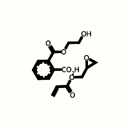 C=CC(=O)OCC1CO1.O=C(O)c1ccccc1C(=O)OCCO